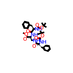 COC(=O)[C@H](CNC(=O)[C@@H](Cc1ccccc1)NC(=O)OC(C)(C)C)NC(=O)[C@@H](Cc1ccccc1)NC(=O)OC(C)(C)C